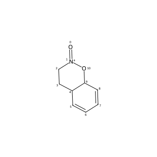 O=[N+]1CCC2C=CC=CC2O1